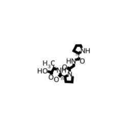 C[C@H](NC(=O)[C@@H]1CCCN1C(=O)CNC(=O)[C@@H]1CCCN1)C(=O)O